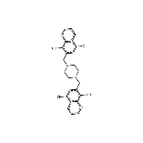 Oc1c(CN2CCN(Cc3cc(Cl)c4cccnc4c3O)CC2)cc(Cl)c2cccnc12